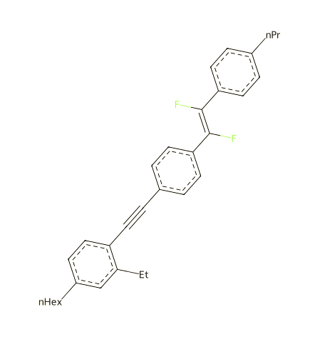 CCCCCCc1ccc(C#Cc2ccc(/C(F)=C(\F)c3ccc(CCC)cc3)cc2)c(CC)c1